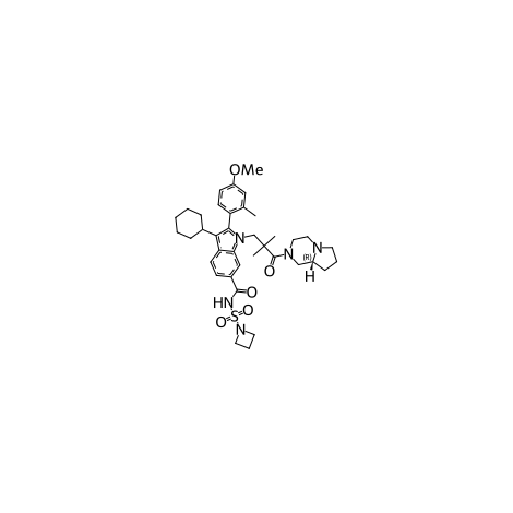 COc1ccc(-c2c(C3CCCCC3)c3ccc(C(=O)NS(=O)(=O)N4CCC4)cc3n2CC(C)(C)C(=O)N2CCN3CCC[C@@H]3C2)c(C)c1